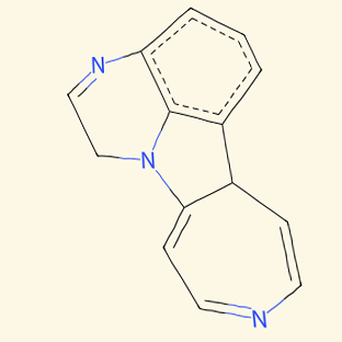 C1=CC2C(=CC=N1)N1CC=Nc3cccc2c31